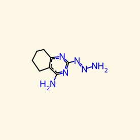 NN=Nc1nc(N)c2c(n1)CCCC2